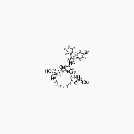 CC(C)(C)OC(=O)N[C@H]1CCCCC/C=C\[C@@H]2C[C@@]2(C(=O)O)NC(=O)[C@@H]2C[C@H](n3nc(-c4ccccc4)c(-c4ccc(Br)cc4)n3)CN2C1=O